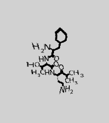 CC(C)C(=O)[C@H](CCN)NC(=O)[C@@H](NC(=O)[C@@H](N)CC1CCCCC1)C(C)O